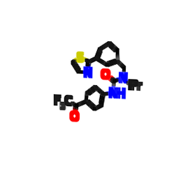 CC(C)N(Cc1cccc(-c2nccs2)c1)C(=O)Nc1ccc(C(=O)C(F)(F)F)cc1